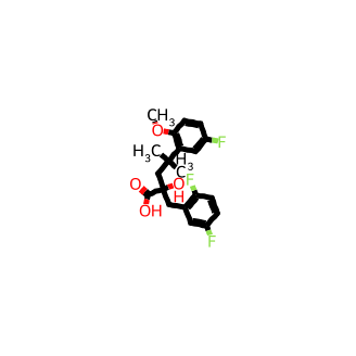 COc1ccc(F)cc1C(C)(C)CC(O)(Cc1cc(F)ccc1F)C(=O)O